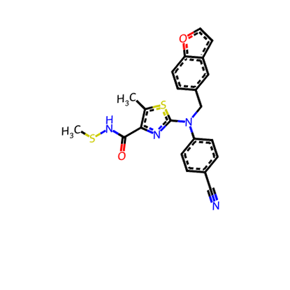 CSNC(=O)c1nc(N(Cc2ccc3occc3c2)c2ccc(C#N)cc2)sc1C